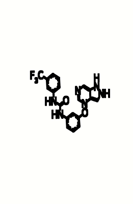 O=C(Nc1cccc(ON2C=NC=C3NNC=C32)c1)Nc1cccc(C(F)(F)F)c1